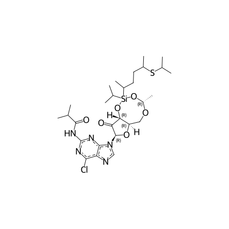 CC(C)SC(C)CCC(C)[Si]1(C(C)C)O[C@H](C)OC[C@H]2O[C@@H](n3cnc4c(Cl)nc(NC(=O)C(C)C)nc43)C(=O)[C@@H]2O1